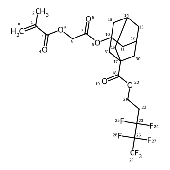 C=C(C)C(=O)OCC(=O)OC12CC3CC(C1)CC(C(=O)OCCC(F)(F)C(F)(F)C(F)(F)F)(C3)C2